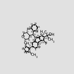 Cc1nnn(C)c1-c1cnc2c3c(F)c(C(C)(C)O)sc3n(C(c3ncccc3F)C3CCOCC3)c2c1